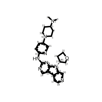 CN(C)C1CCN(c2ccc(Nc3ncc4c5ccncc5n([C@@H]5CCOC5)c4n3)nc2)CC1